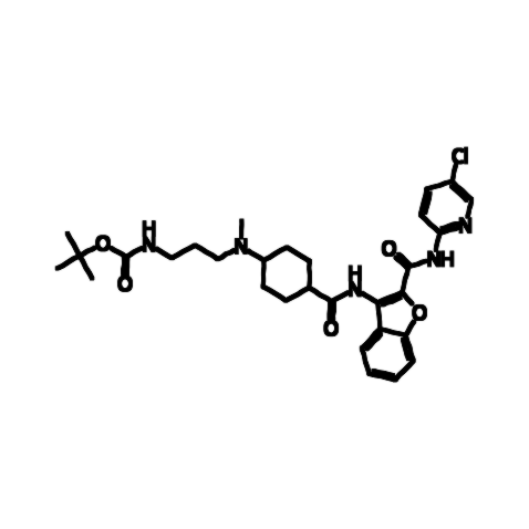 CN(CCCNC(=O)OC(C)(C)C)C1CCC(C(=O)Nc2c(C(=O)Nc3ccc(Cl)cn3)oc3ccccc23)CC1